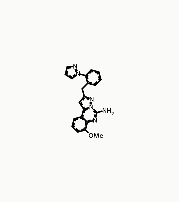 COc1cccc2c1nc(N)n1nc(Cc3ccccc3-n3cccn3)cc21